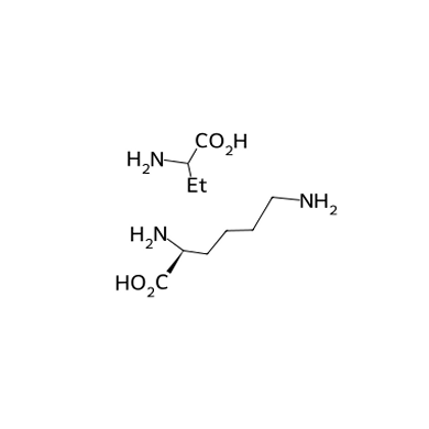 CCC(N)C(=O)O.NCCCC[C@H](N)C(=O)O